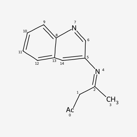 CC(=O)CC(C)=Nc1cnc2ccccc2c1